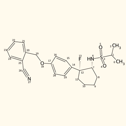 CC(C)S(=O)(=O)N[C@@H]1CCCC[C@@]1(F)c1ccc(OCc2ccccc2C#N)cc1